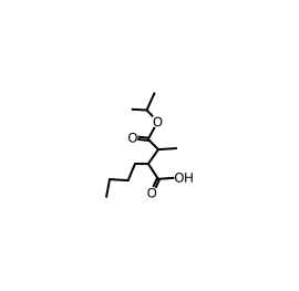 CCCCC(C(=O)O)C(C)C(=O)OC(C)C